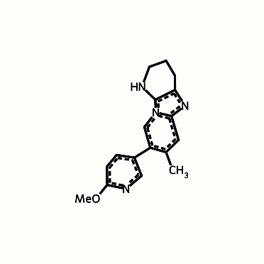 COc1ccc(-c2cn3c4c(nc3cc2C)CCCN4)cn1